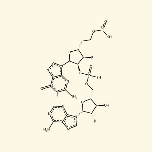 Nc1nc2c(ncn2C2O[C@H](CCO[PH](=O)S)[C@@H](F)[C@H]2OP(=O)(S)OC[C@H]2O[C@@H](n3cnc4c(N)ncnc43)[C@@H](F)[C@@H]2O)c(=O)[nH]1